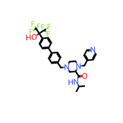 CC(C)NC(=O)C1CN(Cc2ccc(-c3ccc(C(O)(C(F)(F)F)C(F)(F)F)cc3)cc2)CCN1Cc1ccncc1